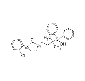 CC(C)(CC[C@@H]1CC[C@@H](c2ccccc2Cl)N1)[Si](O)(c1ccccc1)c1ccccc1